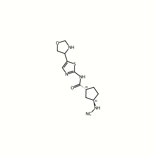 N#CN[C@@H]1CC[C@@H](C(=O)Nc2ncc(C3COCN3)s2)C1